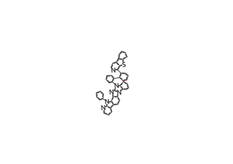 c1ccc(-n2c3ncccc3c3ccc4c(nc5n(-c6ccccc6-c6ccccc6-c6nccc7c6sc6ccccc67)c6ccccc6n45)c32)cc1